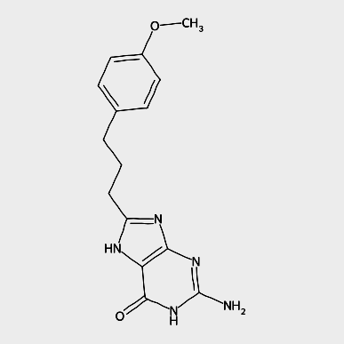 COc1ccc(CCCc2nc3nc(N)[nH]c(=O)c3[nH]2)cc1